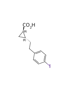 O=C(O)[C@@H]1C[C@H]1CCc1ccc(I)cc1